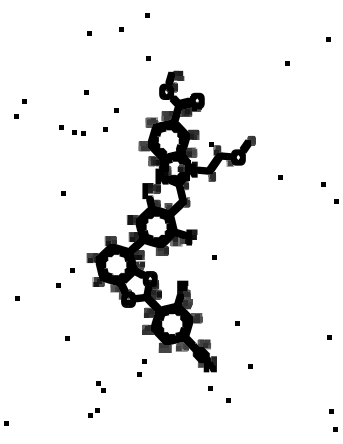 COCCn1c(Cc2c(F)cc(-c3cccc4c3OC(c3ccc(C#N)cc3F)O4)cc2F)nc2ccc(C(=O)OC)cc21